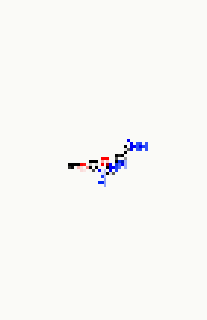 Cc1nc(N2CCC(Nc3cccc(OCC4CC4)c3)C2=O)ccc1-c1cn[nH]c1